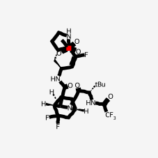 CC(C)(C)[C@H](NC(=O)C(F)(F)F)C(=O)N1[C@@H]2CC[C@H]([C@H]1C(=O)N[C@H](/C=C(/F)S(C)(=O)=O)C[C@@H]1CCNC1=O)C(F)(F)C2